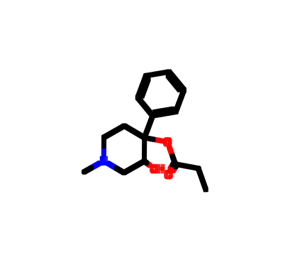 CCC(=O)OC1(c2ccccc2)CCN(C)CC1O